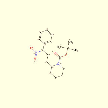 CC(C)(C)OC(=O)N1CCCCC1CCC(c1ccccc1)[N+](=O)[O-]